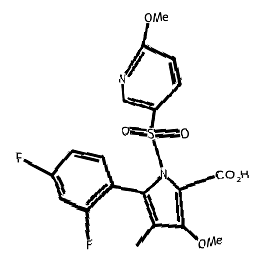 COc1ccc(S(=O)(=O)n2c(C(=O)O)c(OC)c(C)c2-c2ccc(F)cc2F)cn1